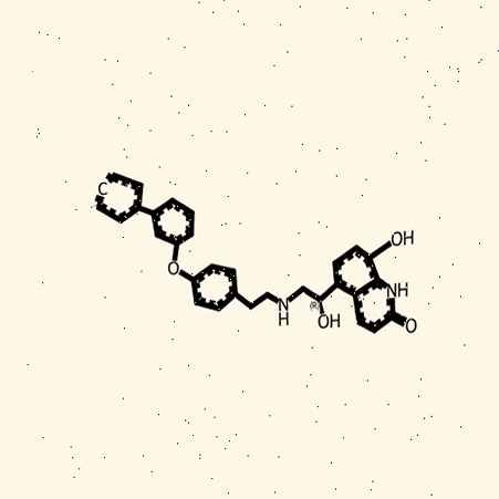 O=c1ccc2c([C@@H](O)CNCCc3ccc(Oc4cccc(-c5ccccc5)c4)cc3)ccc(O)c2[nH]1